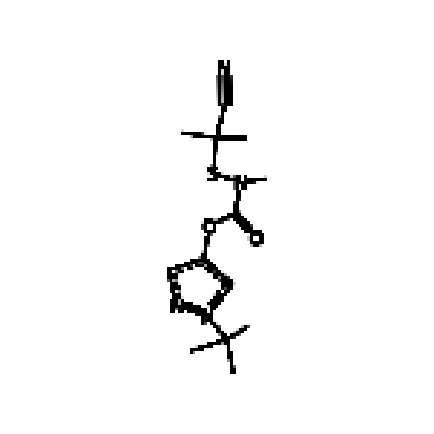 CN(SC(C)(C)C#N)C(=O)Oc1cnn(C(C)(C)C)c1